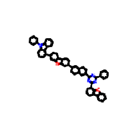 c1ccc(-c2nc(-c3ccc4cc(-c5ccc6c(c5)oc5cc(-c7cccc8c7c7ccccc7n8-c7ccccc7)ccc56)ccc4c3)nc(-c3cccc4c3oc3ccccc34)n2)cc1